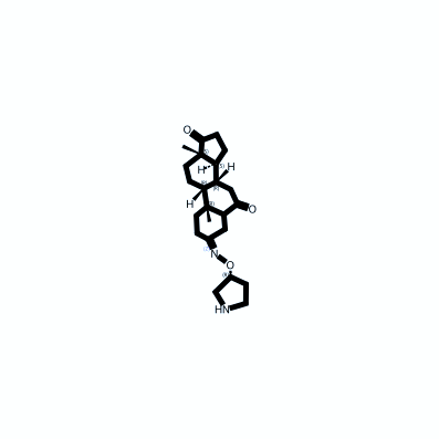 C[C@]12CC/C(=N/O[C@@H]3CCNC3)CC1C(=O)C[C@@H]1[C@H]2CC[C@]2(C)C(=O)CC[C@@H]12